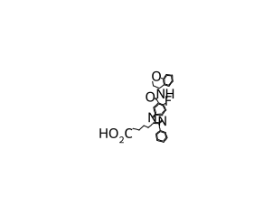 O=C(O)CCCCc1nc2cc(C(=O)NC3CCOc4ccccc43)c(F)cc2nc1-c1ccccc1